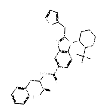 O=C(NC(Cc1ccccc1)C(=O)O)c1ccc2c(c1)nc(Cc1cccs1)n2[C@H]1CCCCC1C(F)(F)F